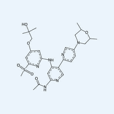 CC(=O)Nc1cc(Nc2cc(OCC(C)(C)O)cc(S(C)(=O)=O)n2)c(-c2ccc(N3CC(C)OC(C)C3)cn2)cn1